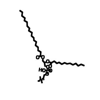 CCCCCCCCCCCCCCCCCCC(=O)OCC(COP(=O)(O)OCC[N+](C)(C)C)OC(=O)CCCCCCCCCCCC